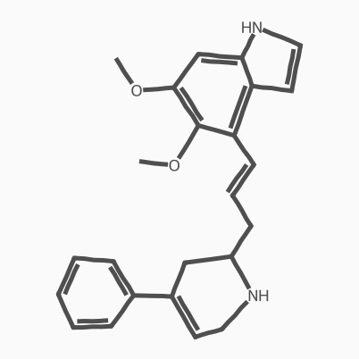 COc1cc2[nH]ccc2c(C=CCC2CC(c3ccccc3)=CCN2)c1OC